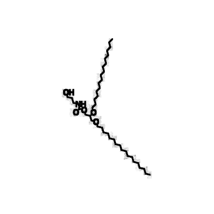 CCCCCCCCCCCCCCCCCCOCC(COC(=O)NCCCO)OCCCCCCCCCCCCCCCCCC